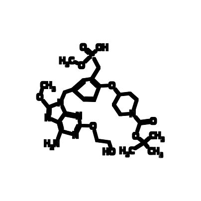 COc1nc2c(N)nc(OCCO)nc2n1Cc1ccc(OC2CCN(C(=O)OC(C)(C)C)CC2)c(CP(=O)(O)OC)c1